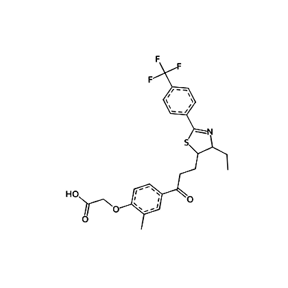 CCC1N=C(c2ccc(C(F)(F)F)cc2)SC1CCC(=O)c1ccc(OCC(=O)O)c(C)c1